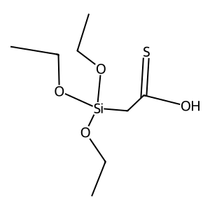 CCO[Si](CC(O)=S)(OCC)OCC